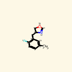 Cc1ccc(F)c(CC2CO[C]=N2)c1